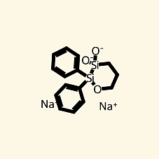 [Na+].[Na+].[O-][Si]1([O-])CCCO[Si]1(c1ccccc1)c1ccccc1